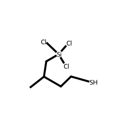 CC(CCS)C[Si](Cl)(Cl)Cl